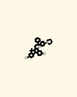 CC1(C)c2cc(Cl)ccc2-c2c1c1c(c3cc(Cl)ccc23)OC(c2ccccc2)(c2ccc(N3CCCCC3)cc2)C=C1